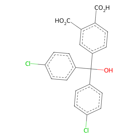 O=C(O)c1ccc(C(O)(c2ccc(Cl)cc2)c2ccc(Cl)cc2)cc1C(=O)O